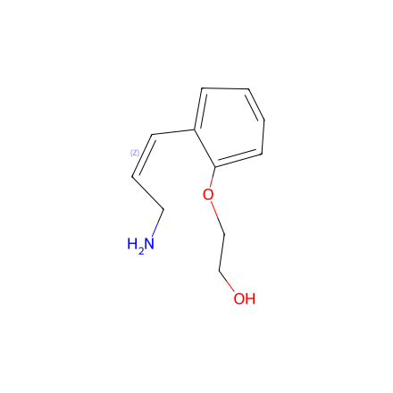 NC/C=C\c1ccccc1OCCO